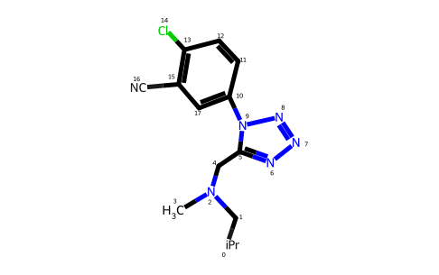 CC(C)CN(C)Cc1nnnn1-c1ccc(Cl)c(C#N)c1